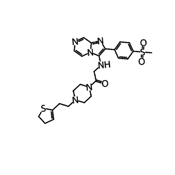 CS(=O)(=O)c1ccc(-c2nc3cnccn3c2NCC(=O)N2CCN(CCC3=CCCS3)CC2)cc1